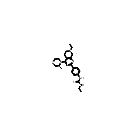 CCNC(=O)Nc1ccc(-c2nc3c(c(N4CCOC[C@@H]4C)n2)CCN(CC)[C@@H]3C)cc1